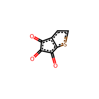 O=c1c(=O)c2ccsc2c1=O